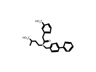 CC(CCN(Cc1ccc(-c2ccccc2)cc1)C(=O)Cc1cccc(C(=O)O)c1)C(=O)O